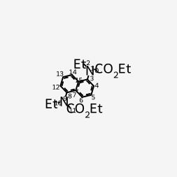 CCOC(=O)N(CC)c1cccc2c(N(CC)C(=O)OCC)cccc12